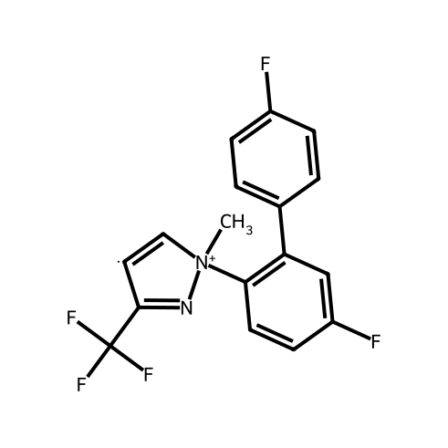 C[N+]1(c2ccc(F)cc2-c2ccc(F)cc2)C=[C]C(C(F)(F)F)=N1